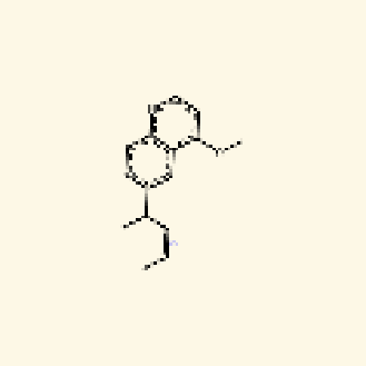 C/C=C\C(C)c1ccc2nccc(OC)c2c1